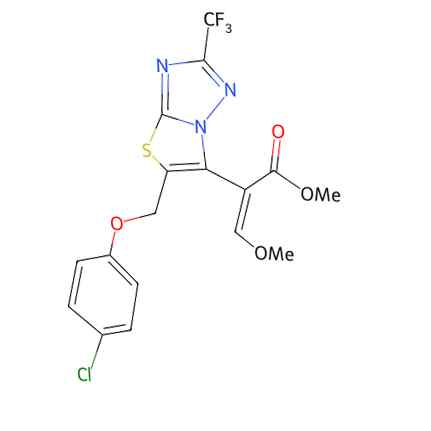 COC=C(C(=O)OC)c1c(COc2ccc(Cl)cc2)sc2nc(C(F)(F)F)nn12